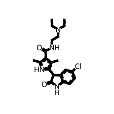 CCN(CC)CCNC(=O)c1c(C)[nH]c(C2C(=O)Nc3ccc(Cl)cc32)c1C